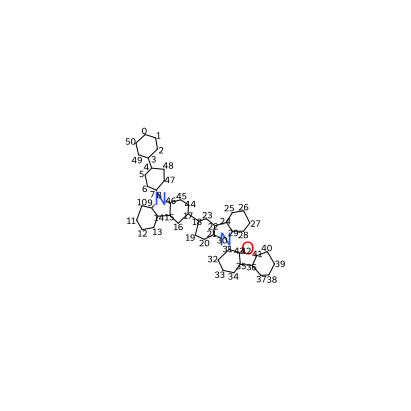 C1CCC(C2CCC(N3C4CCCCC4C4CC(C5CCC6C(C5)C5CCCCC5N6C5CCCC6C7CCCCC7OC65)CCC43)CC2)CC1